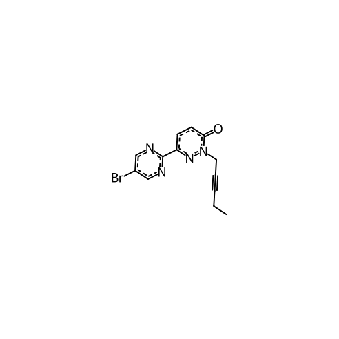 CCC#CCn1nc(-c2ncc(Br)cn2)ccc1=O